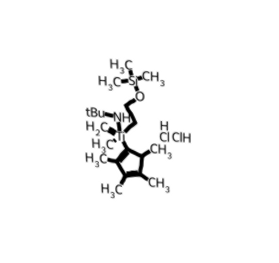 Cl.Cl.[CH2]=[Ti]([CH3])([CH2]CO[Si](C)(C)C)([NH]C(C)(C)C)[C]1=C(C)C(C)=C(C)C1C